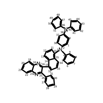 C1=C=C(N(c2ccccc2)c2cccc3c(-c4nc5ccccc5nc4-c4ccccc4)cccc23)C=CC=1N(c1ccccc1)c1ccccc1